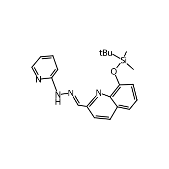 CC(C)(C)[Si](C)(C)Oc1cccc2ccc(C=NNc3ccccn3)nc12